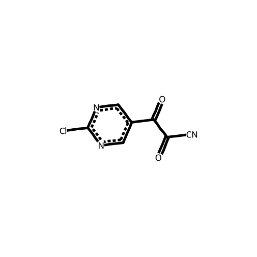 N#CC(=O)C(=O)c1cnc(Cl)nc1